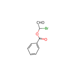 O=CC(Br)OC(=O)c1ccccc1